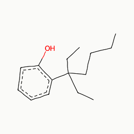 CCCCC(CC)(CC)c1ccccc1O